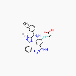 CCc1cccc(C(Nc2ccc(C(=N)N)cc2F)c2nc(-c3ccccc3)nn2C)c1.O=C(O)C(F)(F)F